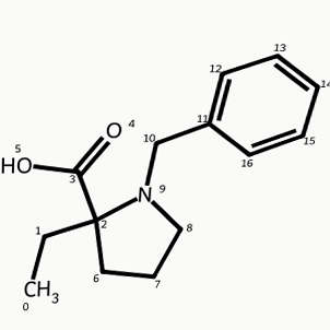 CCC1(C(=O)O)CCCN1Cc1ccccc1